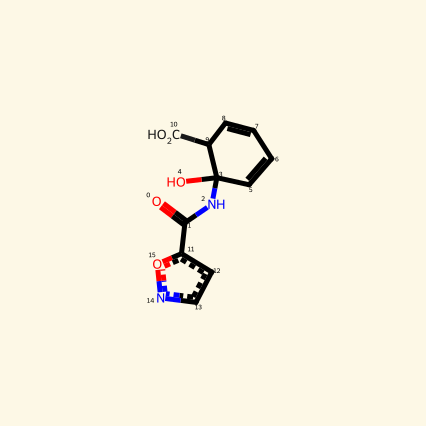 O=C(NC1(O)C=CC=CC1C(=O)O)c1ccno1